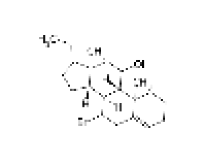 CC[C@H]1CC[C@H]2[C@@H]3C(Br)CC4=CCCC[C@]4(C)[C@H]3C(O)C[C@]12C